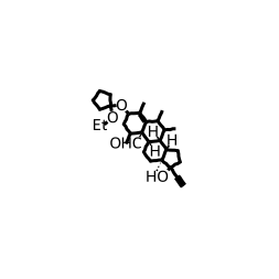 C#CC1(O)CC[C@H]2[C@@H]3C(C)C(C)C4=C(C)C(OC5(OCC)CCCC5)CC(C)[C@]4(C=O)[C@@H]3CC[C@@]21C